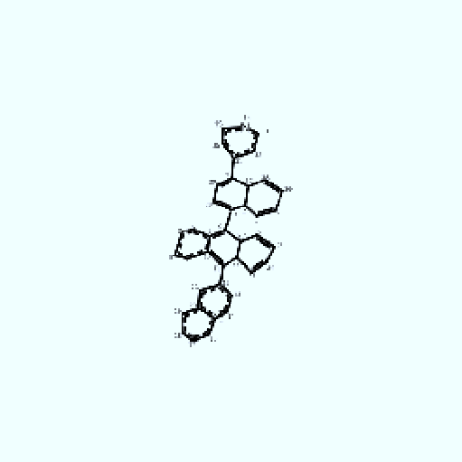 C1=CC2C(C3=c4ccccc4=C(c4ccc5ccccc5c4)C4C=CC=CC34)=CC=C(c3ccncc3)C2C=C1